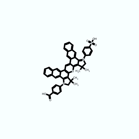 CC1(C)CN(c2ccc(C(=O)O)cc2)c2c1c1c(c3cc4ccccc4cc23)C=c2c(c3c(c4cc5ccccc5cc24)=[N+](c2ccc(S(=O)(=O)O)cc2)CC3(C)C)O1